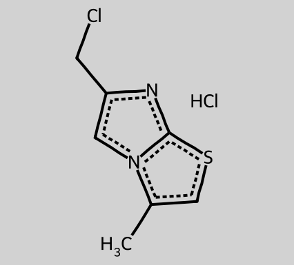 Cc1csc2nc(CCl)cn12.Cl